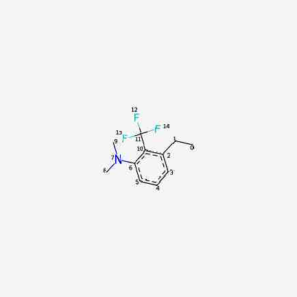 CCc1cccc(N(C)C)c1C(F)(F)F